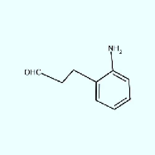 Nc1ccccc1CCC=O